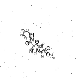 CCOC(=O)c1c(C)c(C(=O)C(C#N)C(=O)Nc2ccccc2)n(C)c1C